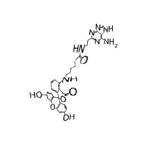 Nc1nc(CCNC(=O)CCCCCNc2cccc3c2C(=O)OC32c3ccc(O)cc3Oc3cc(O)ccc32)nc2nc[nH]c12